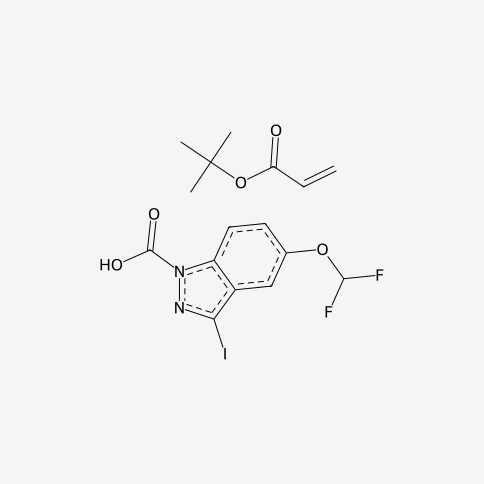 C=CC(=O)OC(C)(C)C.O=C(O)n1nc(I)c2cc(OC(F)F)ccc21